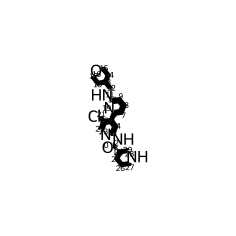 O=C(Nc1cc(-c2cccc(NCC3CCOCC3)n2)c(Cl)cn1)[C@H]1CCCNC1